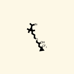 CC(C)C(C)C1C(C)(C)C1(C)CCCOCC(O)CC1(C(F)(F)F)CC1